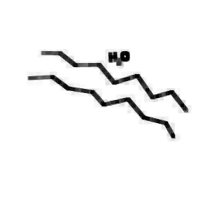 CCCCCCCCC.CCCCCCCCC.O